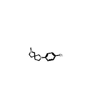 CCc1ccc(N2CCC3(CCN(C)C3)C2)cc1